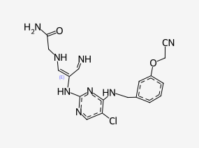 N#CCOc1cccc(CNc2nc(N/C(C=N)=C/NCC(N)=O)ncc2Cl)c1